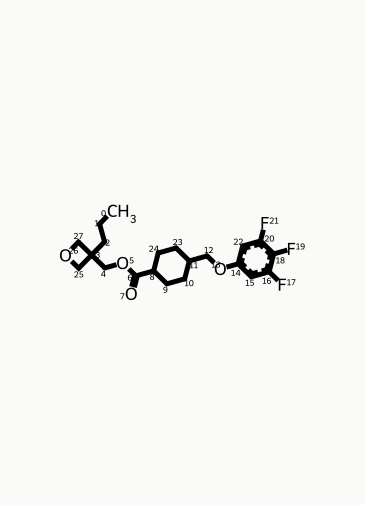 CCCC1(COC(=O)C2CCC(COc3cc(F)c(F)c(F)c3)CC2)COC1